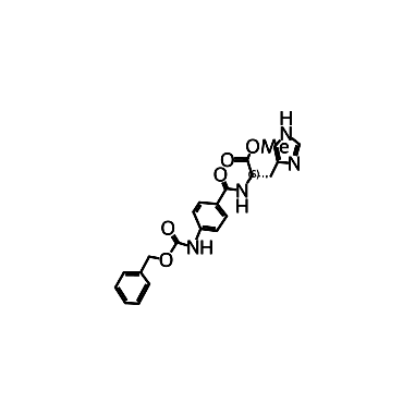 COC(=O)[C@H](Cc1c[nH]cn1)NC(=O)c1ccc(NC(=O)OCc2ccccc2)cc1